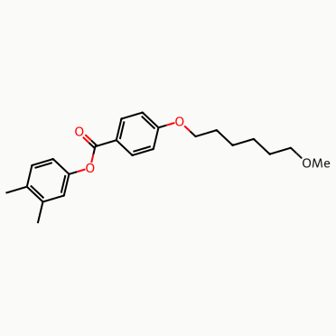 COCCCCCCOc1ccc(C(=O)Oc2ccc(C)c(C)c2)cc1